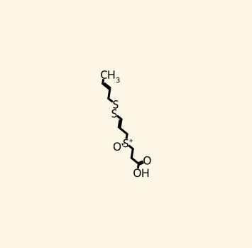 CC=CCSS/C=C/C[S+]([O-])CCC(=O)O